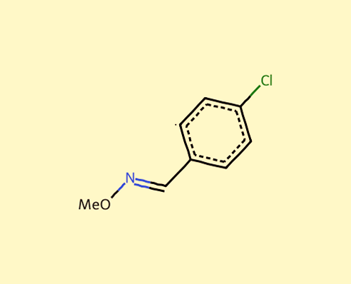 CO/N=C/c1[c]cc(Cl)cc1